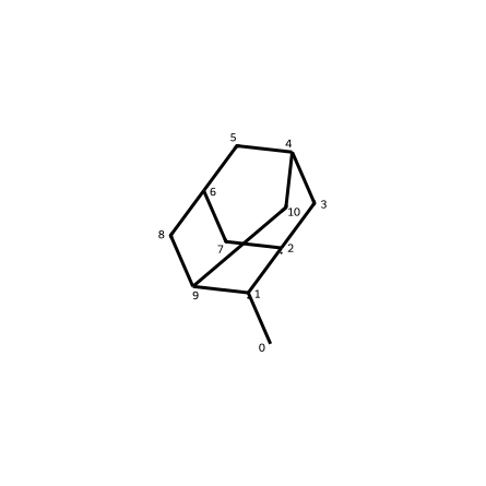 C[C]1[C]2CC3CC(C2)CC1C3